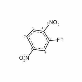 O=[N+]([O-])c1ccc([N+](=O)[O-])c(F)c1